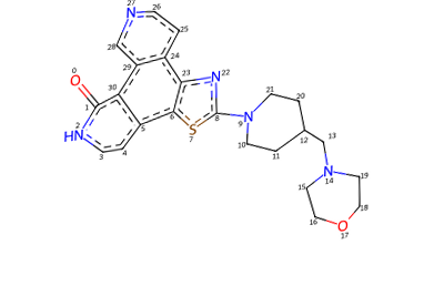 O=c1[nH]ccc2c3sc(N4CCC(CN5CCOCC5)CC4)nc3c3ccncc3c12